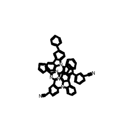 N#Cc1cccc(-c2ccc(-n3c4ccccc4c4cc(-c5ccccc5)ccc43)c(-c3nc(-c4ccccc4)nc(-c4cc(C#N)ccc4-n4c5ccccc5c5cc(-c6ccccc6)ccc54)n3)c2)c1